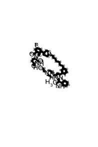 CC(=N)/C(=C1/N=C(c2cccc(CCCCCCCN3CCC(c4cc(F)cc5c4CN(C4CCC(=O)NC4=O)C5=O)CC3)c2)C=C(N2CCN(CCO)CC2)N1)c1ccccc1